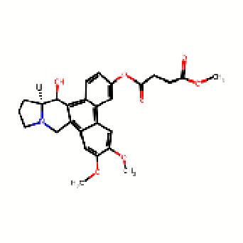 COC(=O)CCC(=O)Oc1ccc2c3c(c4cc(OC)c(OC)cc4c2c1)CN1CCC[C@H]1[C@H]3O